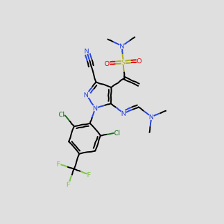 C=C(c1c(C#N)nn(-c2c(Cl)cc(C(F)(F)F)cc2Cl)c1N=CN(C)C)S(=O)(=O)N(C)C